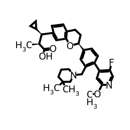 COc1cc(-c2ccc([C@@H]3CCc4ccc([C@H](C5CC5)[C@H](C)C(=O)O)cc4O3)cc2CN2CCCC(C)(C)C2)c(F)cn1